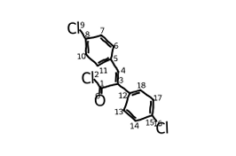 O=C(Cl)C(=Cc1ccc(Cl)cc1)c1ccc(Cl)cc1